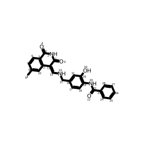 O=C1NC(=O)c2ccc(I)cc2C1=CNCc1ccc(NC(=O)c2ccccc2)c(O)c1